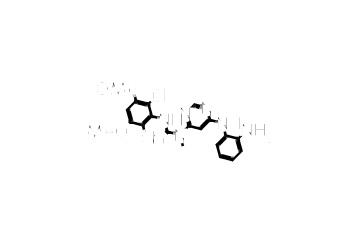 COc1cc(OC)c(Cl)c(NC(=O)N(C)c2cc(Nc3ccccc3N)ncn2)c1Cl